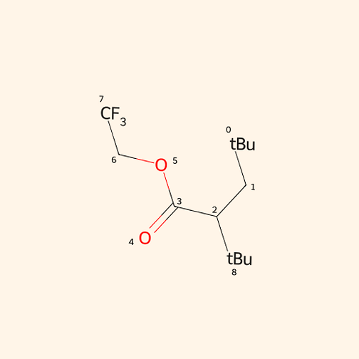 CC(C)(C)CC(C(=O)OCC(F)(F)F)C(C)(C)C